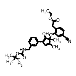 CCOC(=O)Cc1ccc(C#N)cc1OC1(C)C(C)=CC(c2cccc(CNC(=O)OC(C)(C)C)c2)=C1O